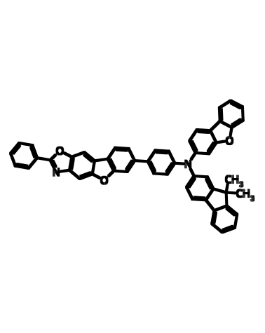 CC1(C)c2ccccc2-c2ccc(N(c3ccc(-c4ccc5c(c4)oc4cc6nc(-c7ccccc7)oc6cc45)cc3)c3ccc4c(c3)oc3ccccc34)cc21